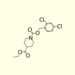 CCOC(=O)C1CCN(C(=O)OCc2ccc(Cl)cc2Cl)CC1